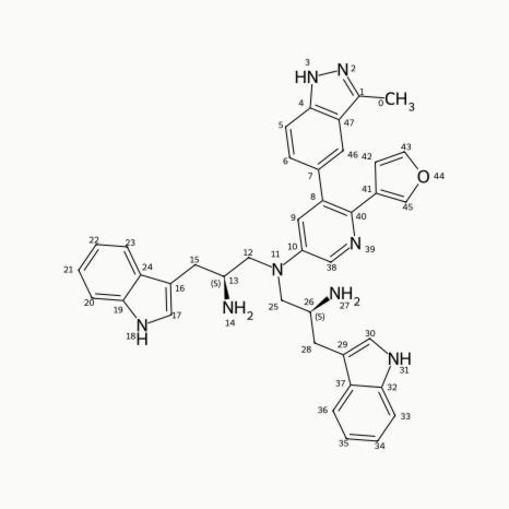 Cc1n[nH]c2ccc(-c3cc(N(C[C@@H](N)Cc4c[nH]c5ccccc45)C[C@@H](N)Cc4c[nH]c5ccccc45)cnc3-c3ccoc3)cc12